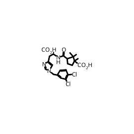 CC1(C(=O)O)CCC(C(=O)N[C@@H](Cc2cn(Cc3ccc(Cl)c(Cl)c3)cn2)C(=O)O)C1(C)C